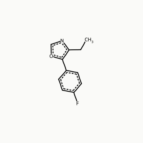 CCc1ncoc1-c1ccc(F)cc1